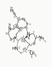 C[C@@H]1CNC[C@@H](N(CC(N)=O)c2ccc(C#N)c3nccnc23)C1